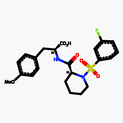 COc1ccc(C[C@H](NC(=O)[C@@H]2CCCCN2S(=O)(=O)c2cccc(F)c2)C(=O)O)cc1